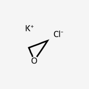 C1CO1.[Cl-].[K+]